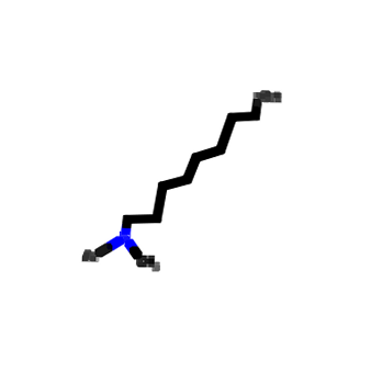 [CH2]C(=O)N(C)CCCCCCCCCCCCCCCC